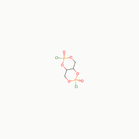 O=P1(Cl)OCC2OP(=O)(Cl)OCC2O1